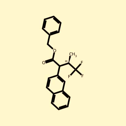 C[C@H](C(C(=O)OCc1ccccc1)c1ccc2ccccc2c1)C(F)(F)F